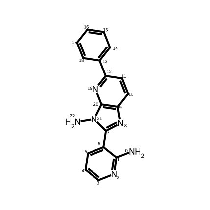 Nc1ncccc1-c1nc2ccc(-c3ccccc3)nc2n1N